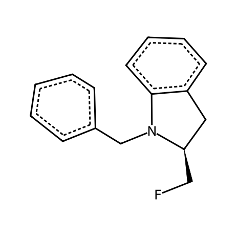 FC[C@@H]1Cc2ccccc2N1Cc1ccccc1